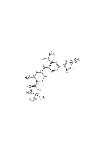 CC1CC(Oc2ccc(-c3cn(C)cn3)cc2C(N)=O)CCN1C(=O)OC(C)(C)C